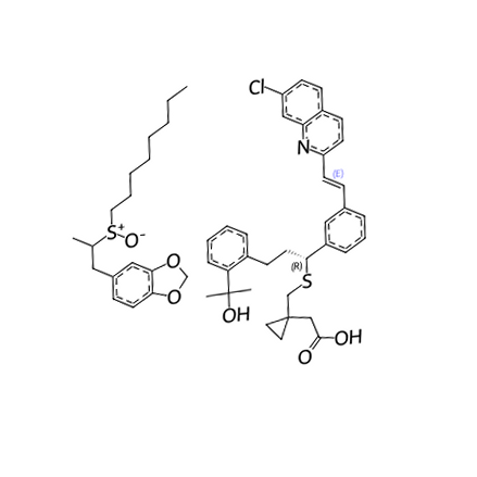 CC(C)(O)c1ccccc1CC[C@@H](SCC1(CC(=O)O)CC1)c1cccc(/C=C/c2ccc3ccc(Cl)cc3n2)c1.CCCCCCCC[S+]([O-])C(C)Cc1ccc2c(c1)OCO2